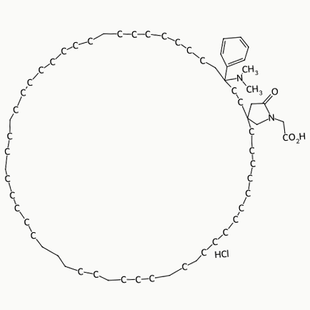 CN(C)C1(c2ccccc2)CCCCCCCCCCCCCCCCCCCCCCCCCCCCCCCCCCCCCCCCCCCCCCCCC2(CC1)CC(=O)N(CC(=O)O)C2.Cl